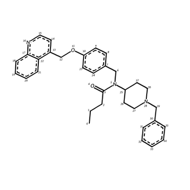 CCCC(=O)N(Cc1ccc(OCc2ccnc3ccccc23)cc1)C1CCN(Cc2ccccc2)CC1